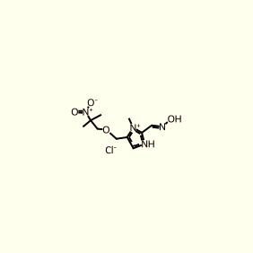 C[n+]1c(COCC(C)(C)[N+](=O)[O-])c[nH]c1C=NO.[Cl-]